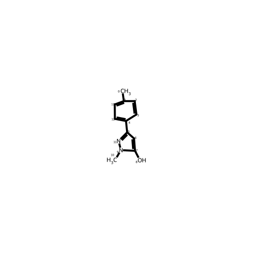 Cc1ccc(-c2cc(O)n(C)n2)cc1